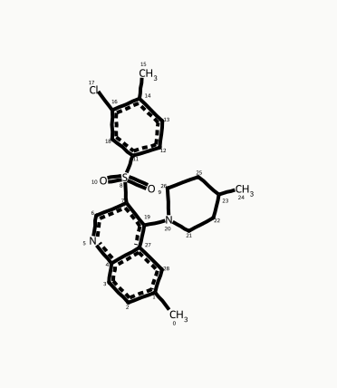 Cc1ccc2ncc(S(=O)(=O)c3ccc(C)c(Cl)c3)c(N3CCC(C)CC3)c2c1